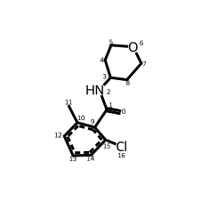 C=C(NC1CCOCC1)c1c(C)cccc1Cl